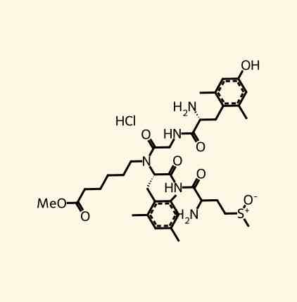 COC(=O)CCCCCN(C(=O)CNC(=O)[C@H](N)Cc1c(C)cc(O)cc1C)[C@@H](Cc1c(C)cc(C)cc1C)C(=O)NC(=O)C(N)CC[S+](C)[O-].Cl